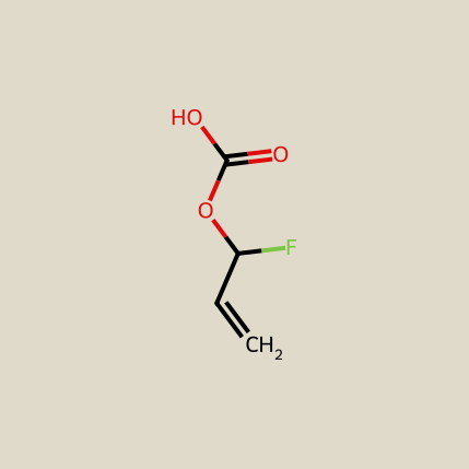 C=CC(F)OC(=O)O